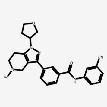 CC(=O)N1CCc2c(c(-c3cccc(C(=O)Nc4cccc(C#N)c4)c3)nn2C2CCOC2)C1